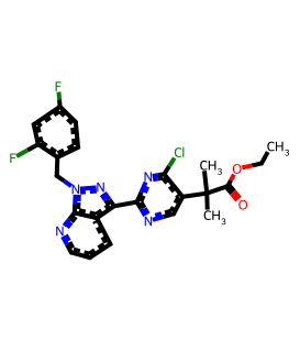 CCOC(=O)C(C)(C)c1cnc(-c2nn(Cc3ccc(F)cc3F)c3ncccc23)nc1Cl